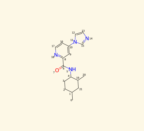 CC1CCC(NC(=O)c2cc(-n3ccnc3)ccn2)C(C)C1